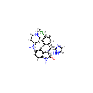 CCN1CCC(Nc2ccc3c(c2)/C(=C(\c2ccc(Cl)cc2)c2ncc[nH]2)C(=O)N3)CC1